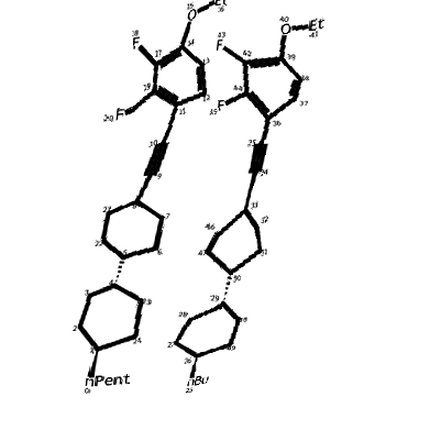 CCCCC[C@H]1CC[C@H](C2CCC(C#Cc3ccc(OCC)c(F)c3F)CC2)CC1.CCCC[C@H]1CC[C@H](C2CCC(C#Cc3ccc(OCC)c(F)c3F)CC2)CC1